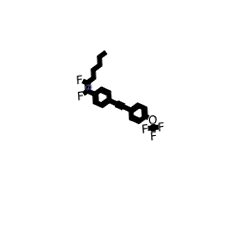 CCCCC/C(F)=C(/F)c1ccc(C#Cc2ccc(OC(F)(F)F)cc2)cc1